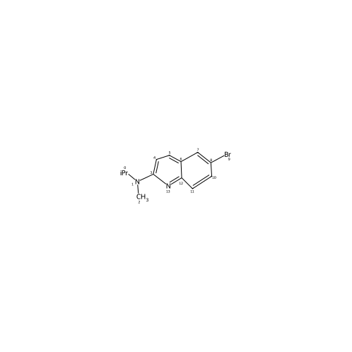 CC(C)N(C)c1ccc2cc(Br)ccc2n1